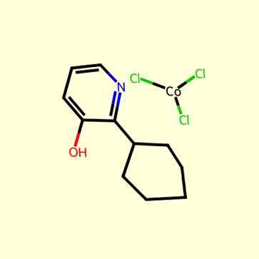 Oc1cccnc1C1CCCCC1.[Cl][Co]([Cl])[Cl]